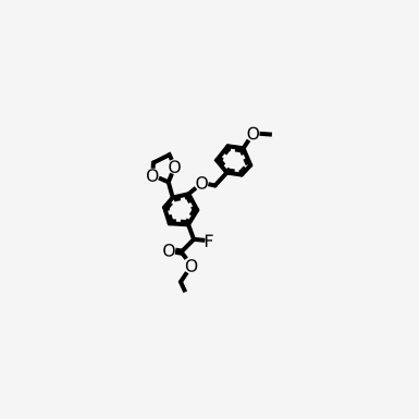 CCOC(=O)C(F)c1ccc(C2OCCO2)c(OCc2ccc(OC)cc2)c1